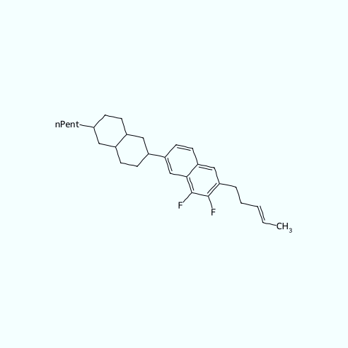 CC=CCCc1cc2ccc(C3CCC4CC(CCCCC)CCC4C3)cc2c(F)c1F